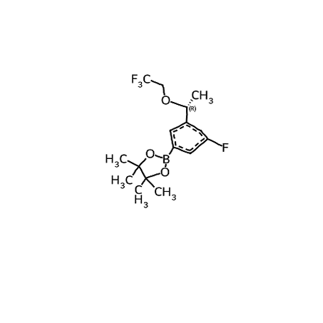 C[C@@H](OCC(F)(F)F)c1cc(F)cc(B2OC(C)(C)C(C)(C)O2)c1